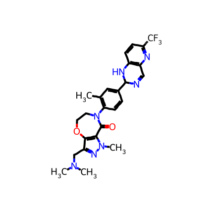 Cc1cc(C2N=Cc3nc(C(F)(F)F)ccc3N2)ccc1N1CCOc2c(CN(C)C)nn(C)c2C1=O